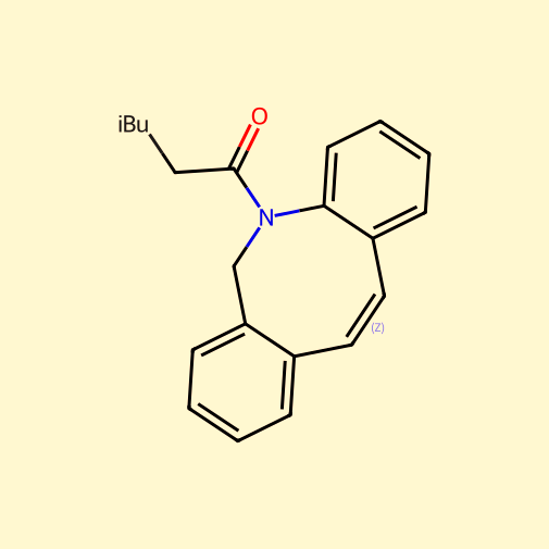 CCC(C)CC(=O)N1Cc2ccccc2/C=C\c2ccccc21